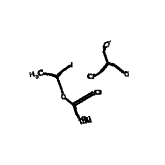 CC(I)OC(=O)C(C)(C)C.ClC(Cl)Cl